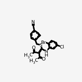 CC(=O)C(C(C)=O)=C(Nc1cc(Cl)ccc1Br)SCc1ccc(C#N)cc1